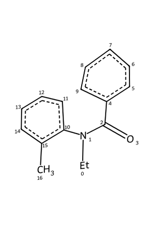 CCN(C(=O)c1ccccc1)c1ccccc1C